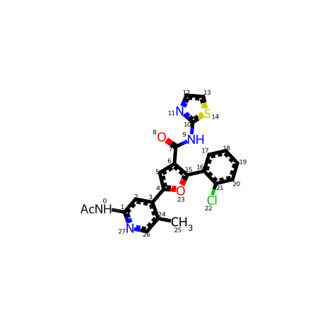 CC(=O)Nc1cc(-c2cc(C(=O)Nc3nccs3)c(-c3ccccc3Cl)o2)c(C)cn1